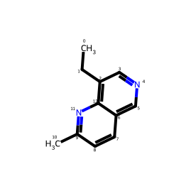 CCc1cncc2ccc(C)nc12